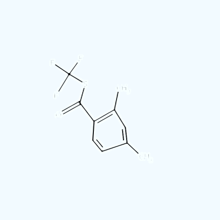 Cc1ccc(C(=O)SC(F)(F)F)c(C)c1